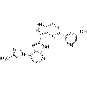 Cc1cn(-c2ccnc3[nH]c(-c4n[nH]c5ccc(-c6cncc(O)c6)nc45)nc23)cn1